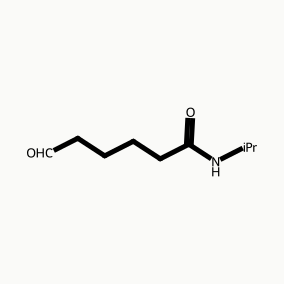 CC(C)NC(=O)CCCCC=O